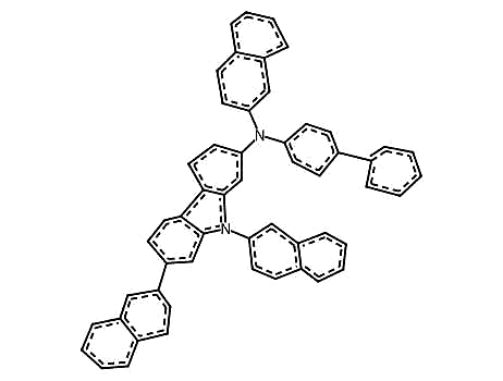 c1ccc(-c2ccc(N(c3ccc4ccccc4c3)c3ccc4c5ccc(-c6ccc7ccccc7c6)cc5n(-c5ccc6ccccc6c5)c4c3)cc2)cc1